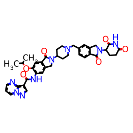 CC(C)Oc1cc2c(cc1NC(=O)c1cnn3cccnc13)CN(C1CCN(Cc3ccc4c(c3)CN(C3CCC(=O)NC3=O)C4=O)CC1)C2=O